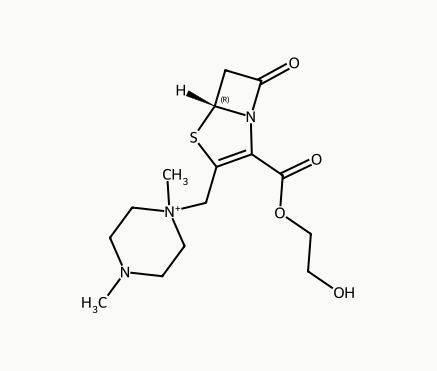 CN1CC[N+](C)(CC2=C(C(=O)OCCO)N3C(=O)C[C@H]3S2)CC1